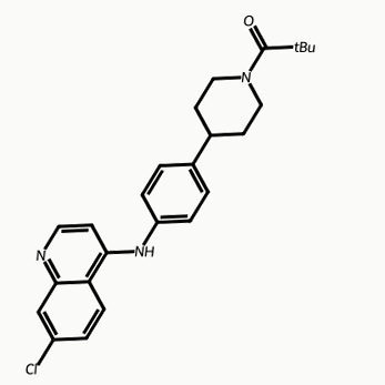 CC(C)(C)C(=O)N1CCC(c2ccc(Nc3ccnc4cc(Cl)ccc34)cc2)CC1